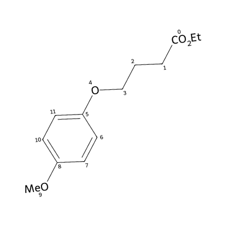 CCOC(=O)CCCOc1ccc(OC)cc1